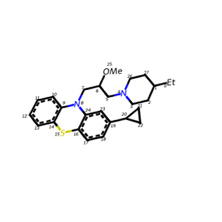 CCC1CCN(CC(CN2c3ccccc3Sc3ccc(C4CC4)cc32)OC)CC1